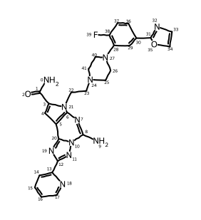 NC(=O)c1cc2c(nc(N)n3nc(-c4ccccn4)nc23)n1CCN1CCN(c2cc(-c3ncco3)ccc2F)CC1